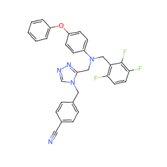 N#Cc1ccc(Cn2cnnc2CN(Cc2c(F)ccc(F)c2F)c2ccc(Oc3ccccc3)cc2)cc1